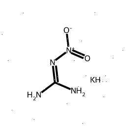 NC(N)=N[N+](=O)[O-].[KH]